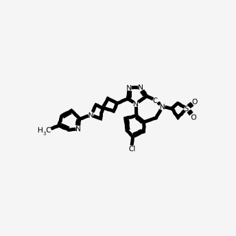 Cc1ccc(N2CC3(CC(c4nnc5n4-c4ccc(Cl)cc4CN(C4CS(=O)(=O)C4)C5)C3)C2)nc1